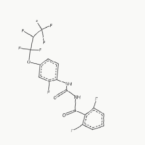 O=C(NC(=O)c1c(F)cccc1F)Nc1ccc(OC(F)(F)C(F)C(F)(F)F)cc1F